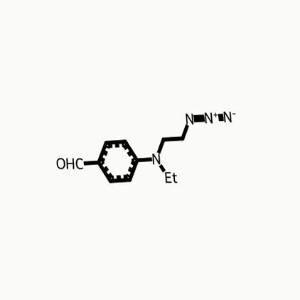 CCN(CCN=[N+]=[N-])c1ccc(C=O)cc1